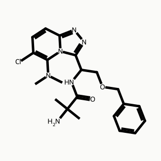 CN(C)c1c(Cl)ccc2nnc(C(COCc3ccccc3)NC(=O)C(C)(C)N)n12